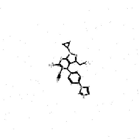 CCc1nn(C2CC2)c2c1C(c1ccc(-n3ccnc3)cc1)C(C#N)=C(N)O2